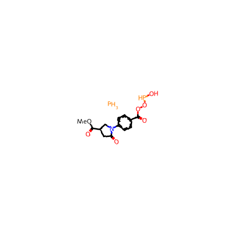 COC(=O)C1CC(=O)N(c2ccc(C(=O)OOPO)cc2)C1.P